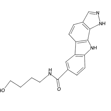 O=C(NCCCCO)c1ccc2[nH]c3c(ccc4cn[nH]c43)c2c1